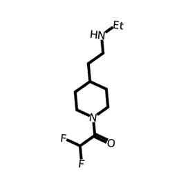 CCNCCC1CCN(C(=O)C(F)F)CC1